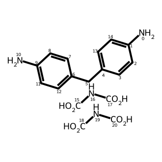 Nc1ccc(Cc2ccc(N)cc2)cc1.O=C(O)NC(=O)O.O=C(O)NC(=O)O